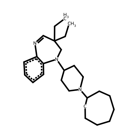 CCC1(CC)C=Nc2ccccc2N(C2CCN(C3CCCCCCC3)CC2)C1